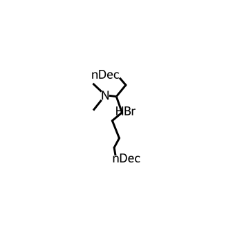 Br.CCCCCCCCCCCCCCC(CCCCCCCCCCC)N(C)C